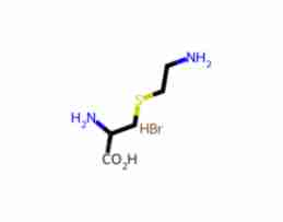 Br.NCCSCC(N)C(=O)O